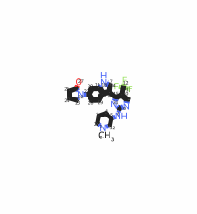 CN1CCCC(Nc2ncc(C(F)(F)F)c(-c3c[nH]c4cc(N5CCCC5=O)ccc34)n2)C1